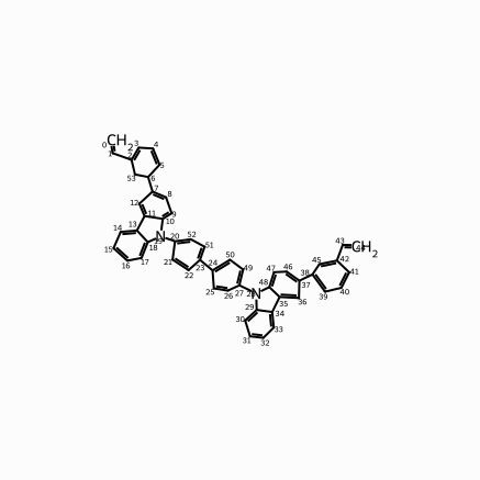 C=CC1=CC=CC(c2ccc3c(c2)c2ccccc2n3-c2ccc(-c3ccc(-n4c5ccccc5c5cc(-c6cccc(C=C)c6)ccc54)cc3)cc2)C1